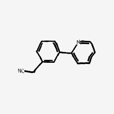 N#CCc1cccc(-c2ccccn2)c1